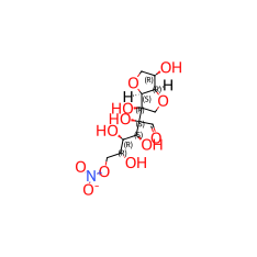 O=C[C@](O)([C@@H](O)[C@H](O)[C@H](O)CO[N+](=O)[O-])[C@@]1(O)CO[C@@H]2[C@H](O)CO[C@@H]21